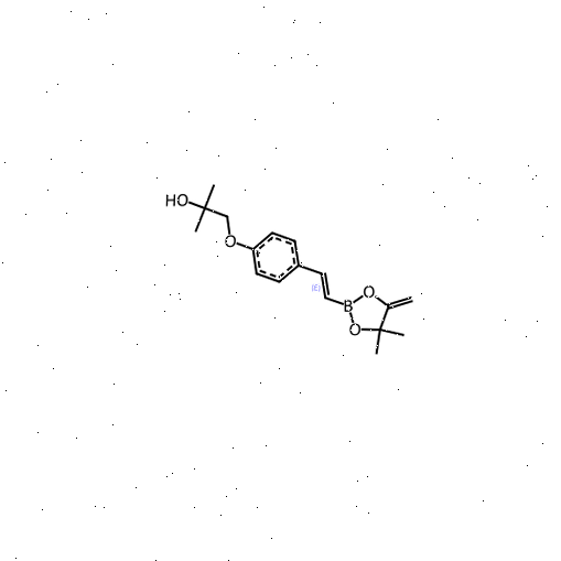 C=C1OB(/C=C/c2ccc(OCC(C)(C)O)cc2)OC1(C)C